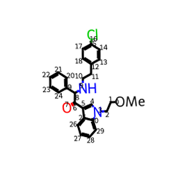 COCCn1cc(C(=O)C(NCCc2ccc(Cl)cc2)c2ccccc2)c2ccccc21